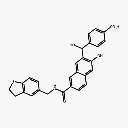 O=C(O)c1ccc(C(O)c2cc3cc(C(=O)NCc4ccc5c(c4)CCS5)ccc3cc2O)cc1